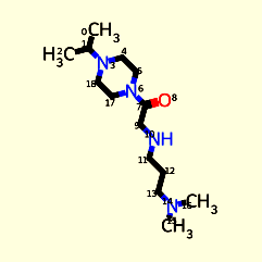 CC(C)N1CCN(C(=O)CNCCCN(C)C)CC1